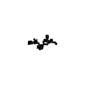 C=CCON1C(=O)N2CC(n3ccnc3CO[Si](C)(C)C(C)(C)C)=CC1C2